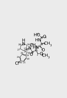 COC[C@H](NC(=O)[C@H](C)NC(=O)O)C(=O)N(C)[C@@]1(Cc2ccc(Cl)cc2)CCCNC1